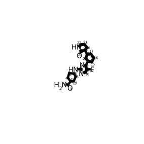 NC(=O)C1CCC(Nc2ncc(F)c(-c3cccc(-c4ccc[nH]c4=O)c3)n2)CC1